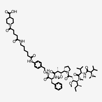 CC[C@H](C)[C@@H]([C@@H](CC(=O)N1CCC[C@H]1[C@H](OC)[C@@H](C)C(=O)N[C@@H](Cc1ccccc1)C(=O)NOCc1ccc(NC(=O)CCCCCNC(=O)CCCC(=O)N2CCC(C(=O)O)CC2)cc1)OC)N(C)C(=O)[C@@H](NC(=O)C(C(C)C)N(C)C)C(C)C